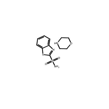 C1COCCN1.NS(=O)(=O)c1nc2ccccc2s1